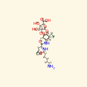 C#CCC(NC(=O)CCCCCN)C(=O)Nc1ccc(OC2OC(C(=O)O)C(O)C(O)C2O)c(CF)c1